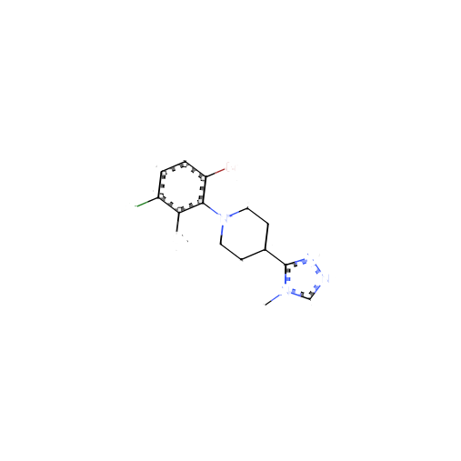 Cn1cnnc1C1CCN(c2c(Br)ccc(Cl)c2C#N)CC1